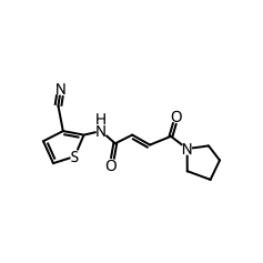 N#Cc1ccsc1NC(=O)C=CC(=O)N1CCCC1